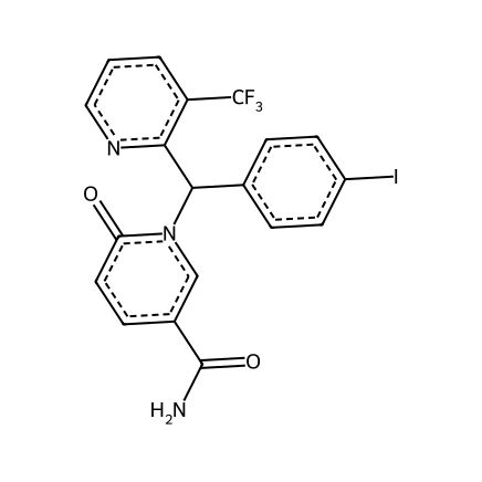 NC(=O)c1ccc(=O)n(C(c2ccc(I)cc2)c2ncccc2C(F)(F)F)c1